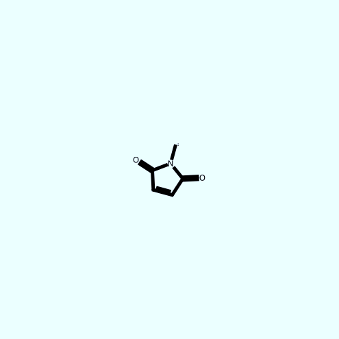 [CH]N1C(=O)C=CC1=O